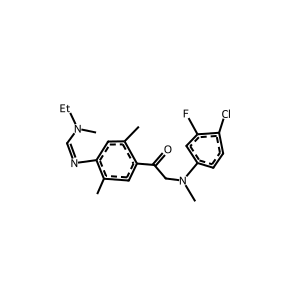 CCN(C)/C=N\c1cc(C)c(C(=O)CN(C)c2ccc(Cl)c(F)c2)cc1C